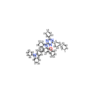 c1ccc(-c2ccc(-c3nc(-c4ccccc4)nc(-n4c5ccccc5c5c(-c6ccc7c(c6)c6ccccc6n7-c6ccccc6)cc6c7ccccc7oc6c54)n3)cc2)cc1